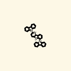 c1cc(-n2c3ccccc3c3ccccc32)c2sc3ccc(-n4c5ccccc5c5ccccc54)nc3c2c1